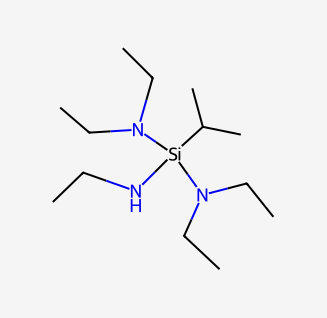 CCN[Si](C(C)C)(N(CC)CC)N(CC)CC